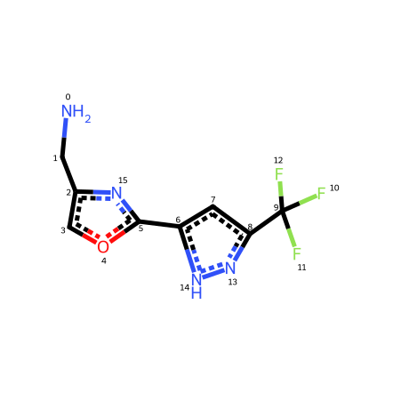 NCc1coc(-c2cc(C(F)(F)F)n[nH]2)n1